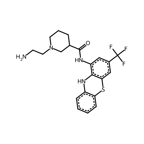 NCCN1CCCC(C(=O)Nc2cc(C(F)(F)F)cc3c2Nc2ccccc2S3)C1